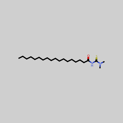 CCCCCCCCCCCCCCCCCC(=O)NC(=S)N(C)C